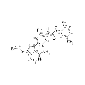 Nc1ncnn2c(CCBr)cc(-c3ccc(NC(=O)Nc4cc(C(F)(F)F)ccc4F)c(F)c3)c12